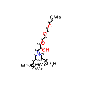 COCCOCCOCCOCC(O)CN(CCC[Si](OC)(OC)OC)CCCS(=O)(=O)O